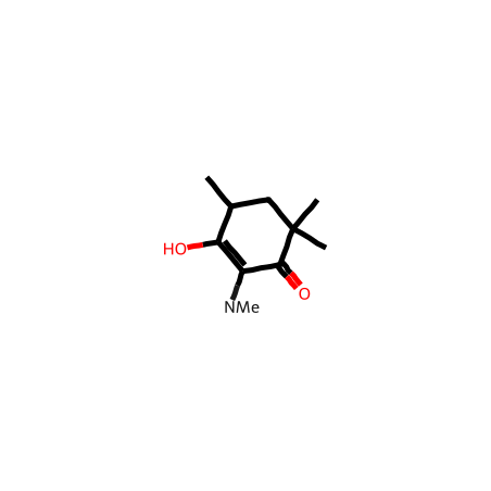 CNC1=C(O)C(C)CC(C)(C)C1=O